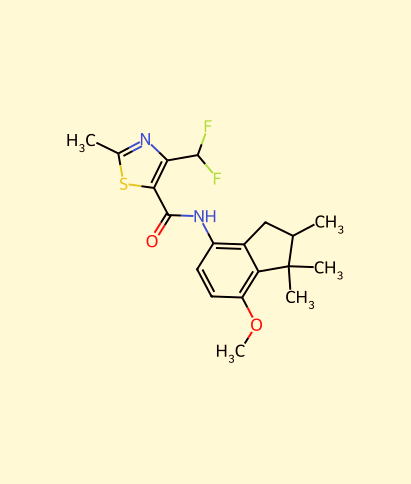 COc1ccc(NC(=O)c2sc(C)nc2C(F)F)c2c1C(C)(C)C(C)C2